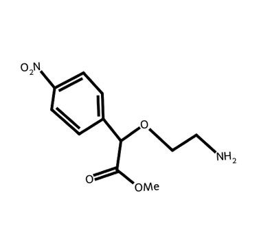 COC(=O)C(OCCN)c1ccc([N+](=O)[O-])cc1